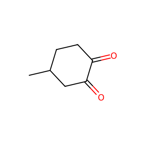 CC1CCC(=O)C(=O)C1